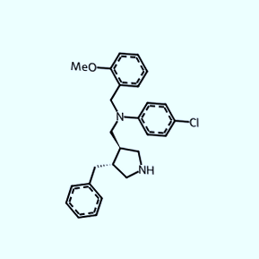 COc1ccccc1CN(C[C@H]1CNC[C@@H]1Cc1ccccc1)c1ccc(Cl)cc1